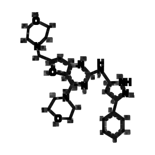 c1ccc(-c2cc(Nc3nc(N4CCOCC4)c4oc(CN5CCOCC5)cc4n3)[nH]n2)cc1